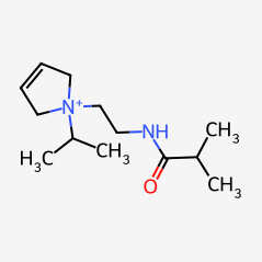 CC(C)C(=O)NCC[N+]1(C(C)C)CC=CC1